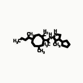 CCCC(C)C1CCC(C)CC(C(C)NC2NCC(C3CCCC3)C2C)C(C)CC1